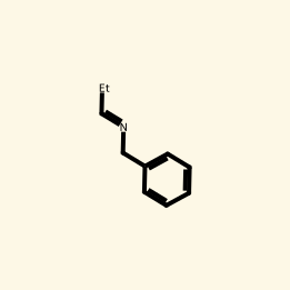 CCC=NCc1ccccc1